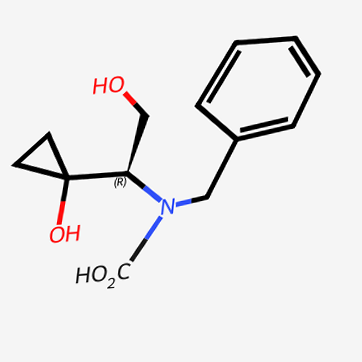 O=C(O)N(Cc1ccccc1)[C@H](CO)C1(O)CC1